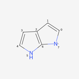 C1=Cc2cc[nH]c2[N]1